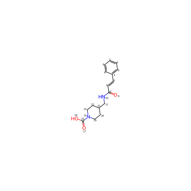 O=C(C=Cc1ccccc1)NCC1CCN(C(=O)O)CC1